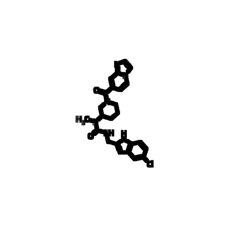 CN(C(=O)NCc1cc2cc(Cl)ccc2[nH]1)C1CCCN(C(=O)c2ccn3ccnc3c2)C1